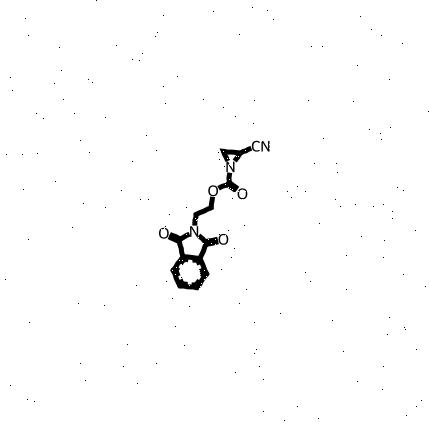 N#CC1CN1C(=O)OCCN1C(=O)c2ccccc2C1=O